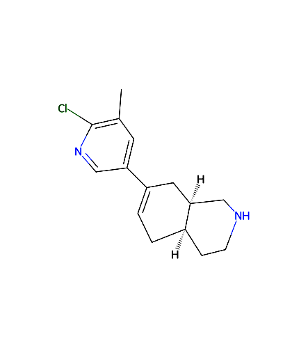 Cc1cc(C2=CC[C@@H]3CCNC[C@@H]3C2)cnc1Cl